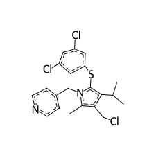 Cc1c(CCl)c(C(C)C)c(Sc2cc(Cl)cc(Cl)c2)n1Cc1ccncc1